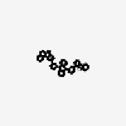 CC1(C)c2ccc(-c3cccc(-c4c5ccccc5c(-c5cccc(-c6cccc7c6oc6ccccc67)c5)c5ccccc45)c3)cc2-c2c1ccc1ccccc21